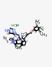 Cc1cc(OCCCc2c(C(=O)O)n(CCN3CCNCC3)c3c(-c4c(C)nn(C)c4C)c(Cl)ccc23)cc(C)c1Cl.Cl